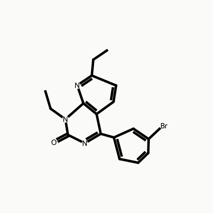 CCc1ccc2c(-c3cccc(Br)c3)nc(=O)n(CC)c2n1